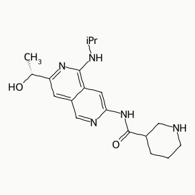 CC(C)Nc1nc([C@@H](C)O)cc2cnc(NC(=O)C3CCCNC3)cc12